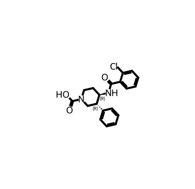 O=C(N[C@@H]1CCN(C(=O)O)C[C@H]1c1ccccc1)c1ccccc1Cl